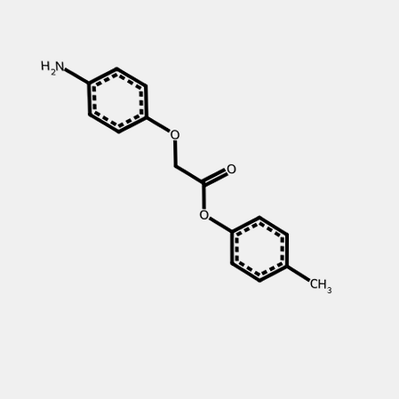 Cc1ccc(OC(=O)COc2ccc(N)cc2)cc1